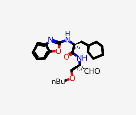 CCCCOC[C@@H](C=O)NC(=O)[C@H](CC1CCCCC1)Nc1nc2ccccc2o1